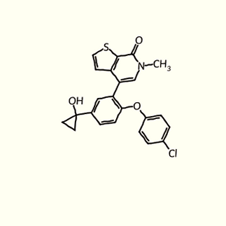 Cn1cc(-c2cc(C3(O)CC3)ccc2Oc2ccc(Cl)cc2)c2ccsc2c1=O